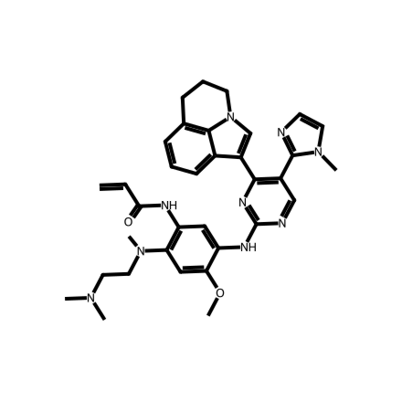 C=CC(=O)Nc1cc(Nc2ncc(-c3nccn3C)c(-c3cn4c5c(cccc35)CCC4)n2)c(OC)cc1N(C)CCN(C)C